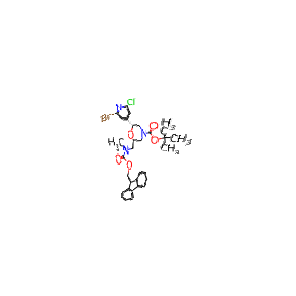 CN(C[C@@H]1CN(C(=O)OC(C)(C)C)C[C@@H](c2cc(Cl)nc(Br)c2)O1)C(=O)OCC1c2ccccc2-c2ccccc21